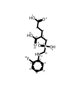 O=C(O)CCC(CP(=O)(O)CNc1ccccc1F)C(=O)O